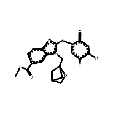 COC(=O)c1ccc2nc(Cn3cc(F)c(Br)cc3=O)n(CC34CC(CO3)C4)c2c1